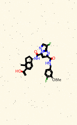 C=C(O)c1ccc2c(c1C)CC[C@@H]2NC(=O)c1cc(C(=O)NCc2ccc(F)c(OC)c2)nc2c(F)cnn12